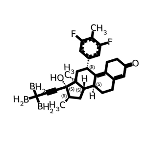 BC(B)(B)C#C[C@]1(O)[C@H](C)C[C@H]2[C@@H]3CCC4=CC(=O)CCC4=C3[C@@H](c3cc(F)c(C)c(F)c3)C[C@@]21C